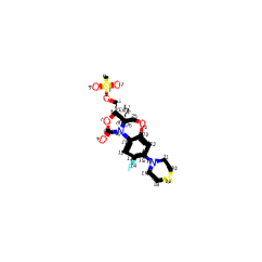 CS(=O)(=O)OC[C@H]1OC(=O)N2c3cc(F)c(N4CCSCC4)cc3OC[C@H]12